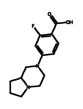 O=C(O)c1ccc(N2CCN3CCCC3C2)cc1F